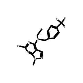 CCN(Cc1ccc(C(F)(F)F)cc1)c1nc(Cl)nc2c1cnn2C